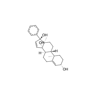 C[C@]12CC[C@H]3[C@@H](CCC4=C[C@@H](O)CC[C@@]43C)[C@@]1(O)C=C[C@]2(O)c1ccccc1